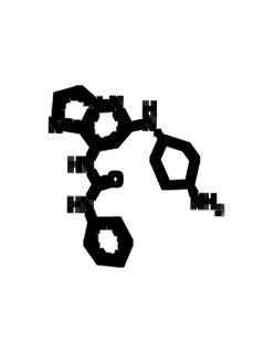 N[C@H]1CC[C@H](Nc2cc(NC(=O)Nc3ccccc3)c3nccn3n2)CC1